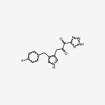 O=C(Cc1c[nH]cc1Cc1ccc(F)cc1)C(=O)c1nn[nH]n1